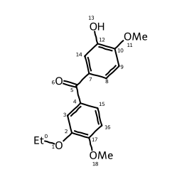 CCOc1cc(C(=O)c2ccc(OC)c(O)c2)ccc1OC